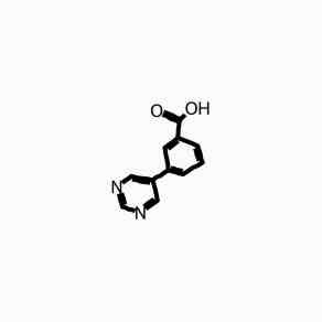 O=C(O)c1cccc(-c2cncnc2)c1